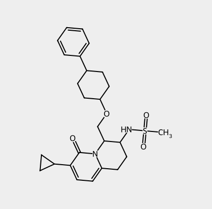 CS(=O)(=O)NC1CCc2ccc(C3CC3)c(=O)n2C1COC1CCC(c2ccccc2)CC1